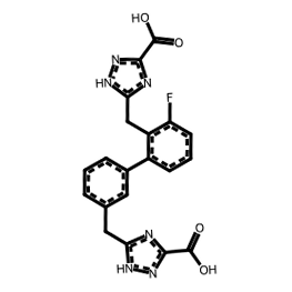 O=C(O)c1n[nH]c(Cc2cccc(-c3cccc(F)c3Cc3nc(C(=O)O)n[nH]3)c2)n1